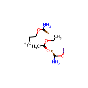 CCCOC(N)=S.CCOC(C)=O.NC(=S)OI